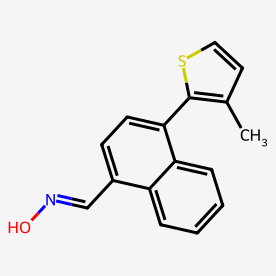 Cc1ccsc1-c1ccc(C=NO)c2ccccc12